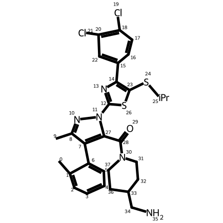 Cc1ccccc1-c1c(C)nn(-c2nc(-c3ccc(Cl)c(Cl)c3)c(SC(C)C)s2)c1C(=O)N1CCC(CN)CC1